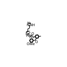 COc1ccccc1C(=O)c1cc(C)ccc1NC(=O)Nc1ncc(CCc2nnc[nH]2)s1